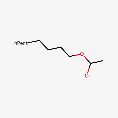 CCCCCCCCCOC(C)[O]